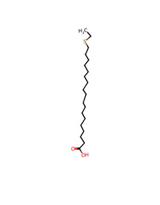 CCSCCCCCCCCCCCCCCCCCC(=O)O